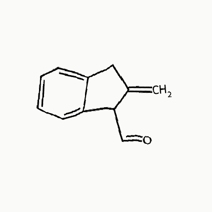 C=C1Cc2ccccc2C1C=O